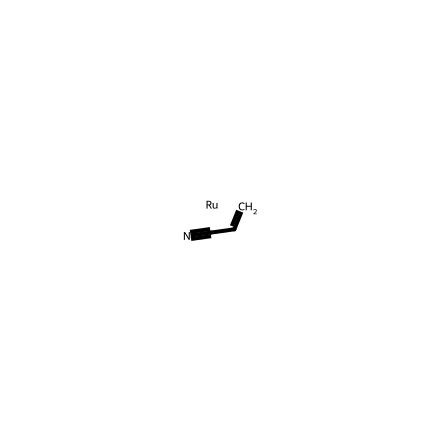 C=CC#N.[Ru]